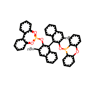 CCCCc1cc2ccccc2c(-c2c(Op3oc4ccccc4c4ccccc4o3)c(CCCC)cc3ccccc23)c1OP1c2ccccc2Oc2ccccc21